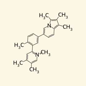 Cc1cc(-c2cc(-c3ccc4c(C)c(C)c(C)n4c3)ccc2C)[n+](C)cc1C